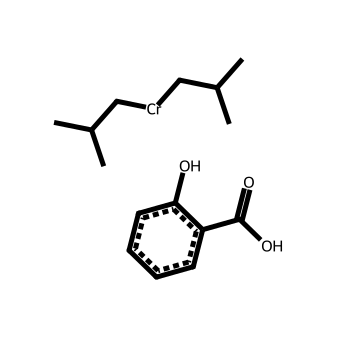 CC(C)[CH2][Cr][CH2]C(C)C.O=C(O)c1ccccc1O